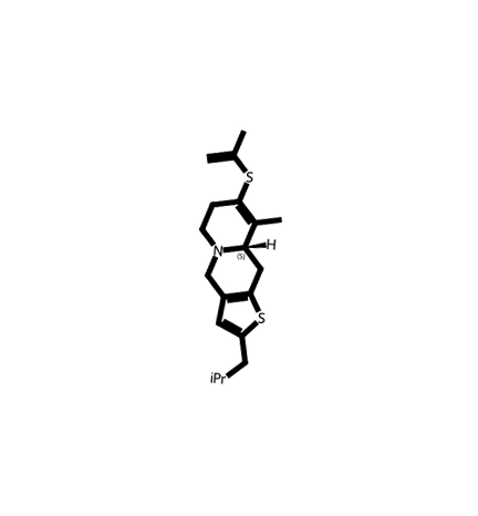 C=C(C)SC1=C(C)[C@@H]2Cc3sc(CC(C)C)cc3CN2CC1